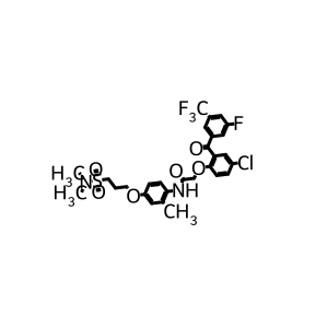 Cc1cc(OCCCS(=O)(=O)N(C)C)ccc1NC(=O)COc1ccc(Cl)cc1C(=O)c1cc(F)cc(C(F)(F)F)c1